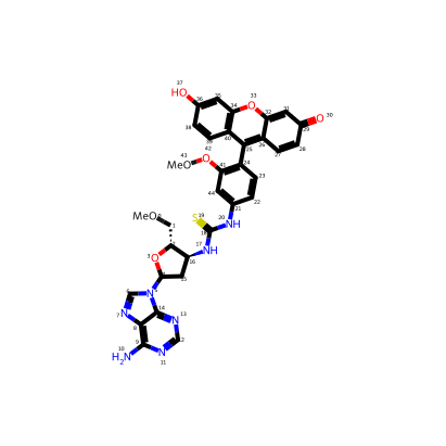 COC[C@H]1OC(n2cnc3c(N)ncnc32)C[C@@H]1NC(=S)Nc1ccc(-c2c3ccc(=O)cc-3oc3cc(O)ccc23)c(OOC)c1